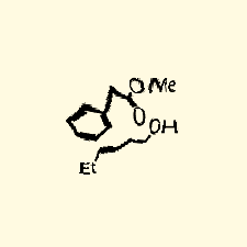 CCC=CCCO.COC(=O)Cc1ccccc1